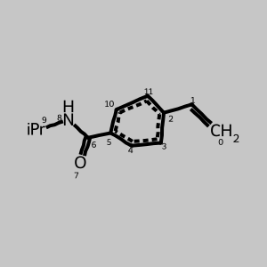 C=Cc1ccc(C(=O)NC(C)C)cc1